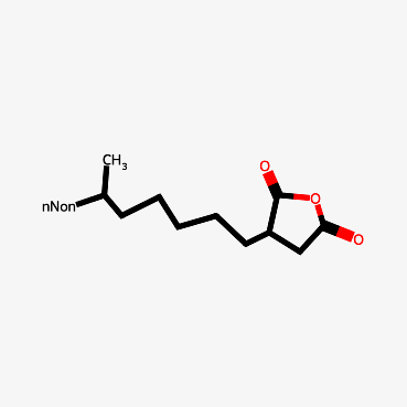 CCCCCCCCCC(C)CCCCCC1CC(=O)OC1=O